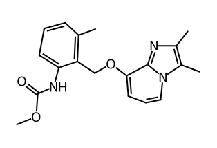 COC(=O)Nc1cccc(C)c1COc1cccn2c(C)c(C)nc12